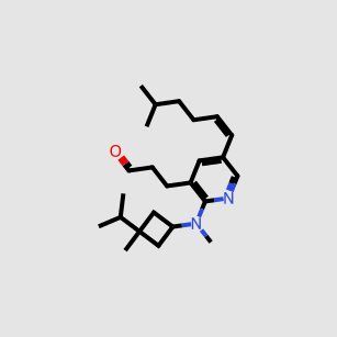 CC(C)CC/C=C\c1cnc(N(C)C2CC(C)(C(C)C)C2)c(CCC=O)c1